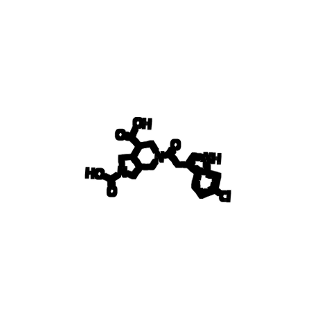 O=C(O)C1CN(C(=O)Cc2c[nH]c3cc(Cl)ccc23)CC2CN(C(=O)O)CC21